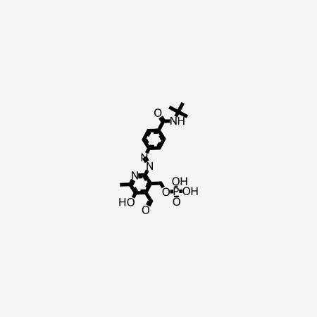 Cc1nc(N=Nc2ccc(C(=O)NC(C)(C)C)cc2)c(COP(=O)(O)O)c(C=O)c1O